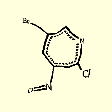 O=Nc1cc(Br)cnc1Cl